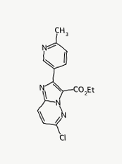 CCOC(=O)c1c(-c2ccc(C)nc2)nc2ccc(Cl)nn12